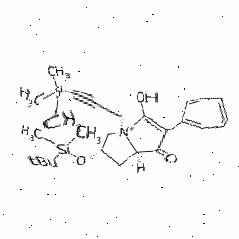 CC(C)(C)[Si](C)(C)O[C@H]1C[C@@H]2C(=O)C(c3ccccc3)=C(O)[N@+]2(CC#C[Si](C)(C)C)C1